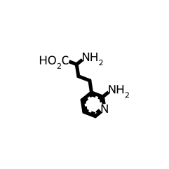 Nc1ncccc1CCC(N)C(=O)O